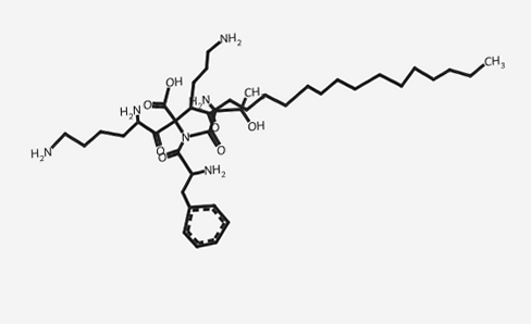 CCCCCCCCCCCCCCCC(=O)C(CCCN)C(C(=O)O)(C(=O)C(N)CCCCN)N(C(=O)C(N)Cc1ccccc1)C(=O)C(N)C(C)O